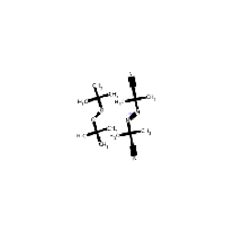 CC(C)(C#N)/N=N/C(C)(C)C#N.CC(C)(C)OOC(C)(C)C